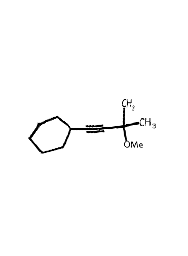 COC(C)(C)C#CC1CCCCC1